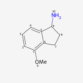 COc1cccc2c1CCC2N